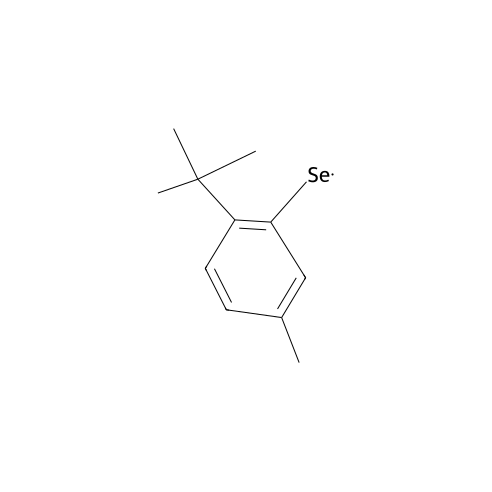 Cc1ccc(C(C)(C)C)c([Se])c1